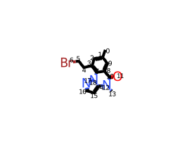 Cc1cc(CCBr)c2c(c1)c(=O)n(C)c1ccnn21